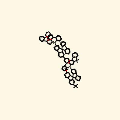 CC(C)(C)c1ccc2c(c1)C1(c3ccccc3-c3ccc(N(c4ccc5c(c4)C(C)(C)c4ccccc4-5)c4ccccc4-c4cccc(-c5ccc6c(c5)C5(c7ccccc7-c7ccccc75)c5cc(N(c7ccc8c(c7)C7(CCCCC7)c7ccccc7-8)c7ccccc7-c7ccccc7)ccc5-6)c4)cc31)c1cc(C(C)(C)C)ccc1-2